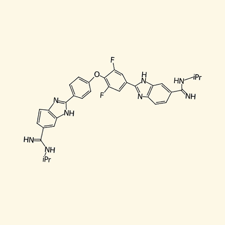 CC(C)NC(=N)c1ccc2nc(-c3ccc(Oc4c(F)cc(-c5nc6ccc(C(=N)NC(C)C)cc6[nH]5)cc4F)cc3)[nH]c2c1